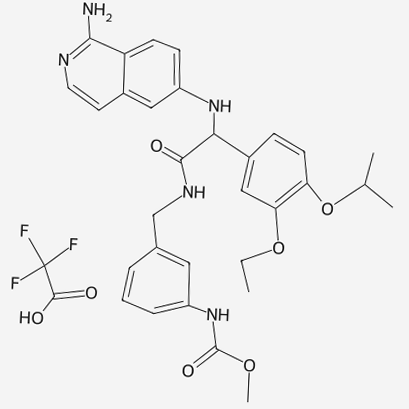 CCOc1cc(C(Nc2ccc3c(N)nccc3c2)C(=O)NCc2cccc(NC(=O)OC)c2)ccc1OC(C)C.O=C(O)C(F)(F)F